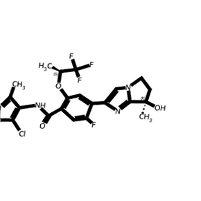 Cc1n[nH]c(Cl)c1NC(=O)c1cc(F)c(-c2cn3c(n2)[C@](C)(O)CC3)cc1O[C@@H](C)C(F)(F)F